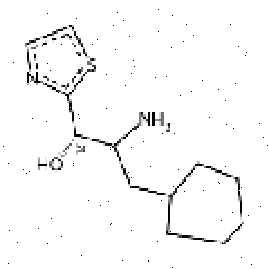 NC(CC1CCCCC1)[C@H](O)c1nccs1